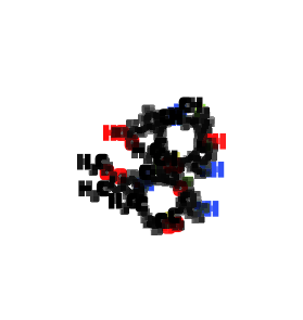 CCOC(=O)C(C)Cc1cccc([C@@]2(C)CCCC3(CC3)CS(=O)(=O)CCc3c(c(F)cc4[nH]ccc34)Oc3ccc(F)c(c3)-c3nc2nn3C)c1.Cn1nc2nc1-c1cc(ccc1F)C(O)c1c(F)cc3[nH]ccc3c1CCS(=O)(=O)CC(C)(C)CCCC2(C)c1cccc(CCC(=O)O)c1